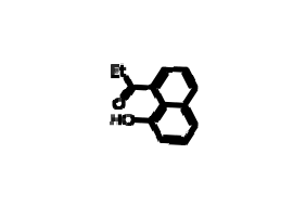 CCC(=O)c1cccc2cccc(O)c12